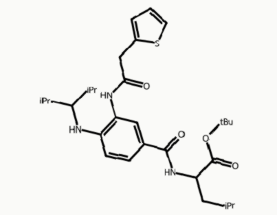 CC(C)CC(NC(=O)c1ccc(NC(C(C)C)C(C)C)c(NC(=O)Cc2cccs2)c1)C(=O)OC(C)(C)C